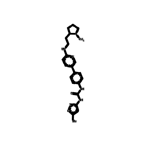 CN1CCCC1CCNc1ccc(-c2ccc(NC(=O)Nc3cc(C(C)(C)C)on3)cc2)cn1